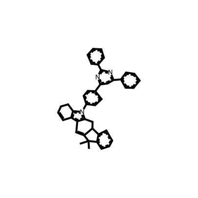 CC1(C)C2=Cc3c4c(n(-c5ccc(-c6cc(-c7ccccc7)nc(-c7ccccc7)n6)cc5)c3CC2c2ccccc21)CCC=C4